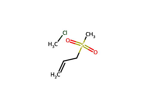 C=CCS(C)(=O)=O.CCl